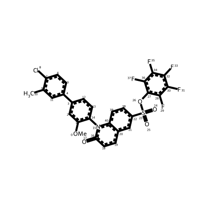 COc1cc(-c2ccc(Cl)c(C)c2)ccc1-n1c(=O)ccc2cc(S(=O)(=O)Oc3c(F)c(F)c(F)c(F)c3F)ccc21